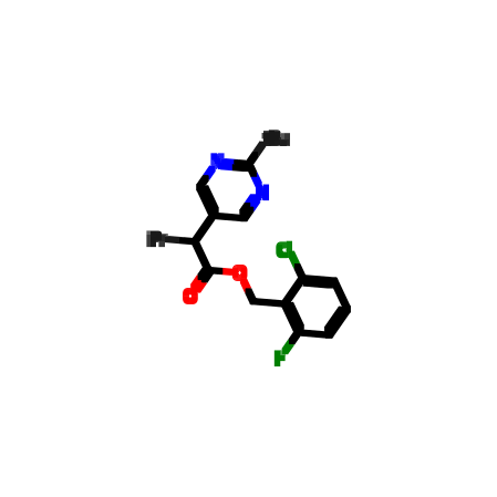 CC(C)C(C(=O)OCc1c(F)cccc1Cl)c1cnc(C(C)(C)C)nc1